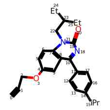 C#CCOc1ccc2c(c1)c(-c1ccc(C(C)C)cc1)nc(=O)n2CC(CC)CC